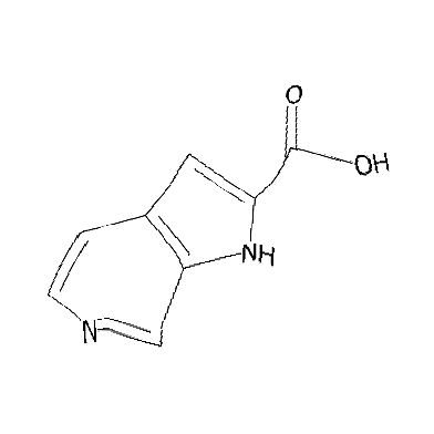 O=C(O)c1cc2ccncc2[nH]1